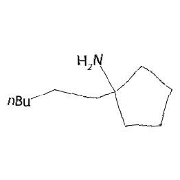 CCCCCCC1(N)CCCC1